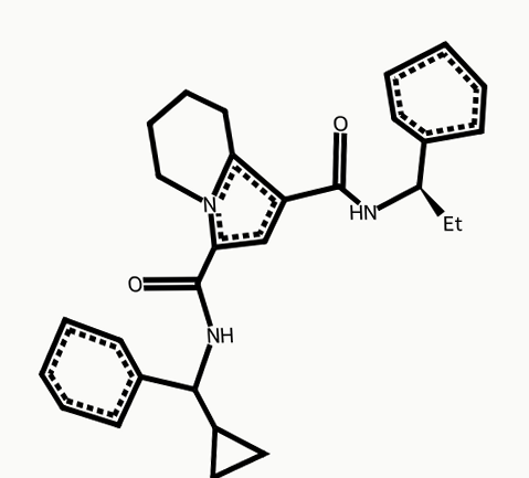 CC[C@@H](NC(=O)c1cc(C(=O)NC(c2ccccc2)C2CC2)n2c1CCCC2)c1ccccc1